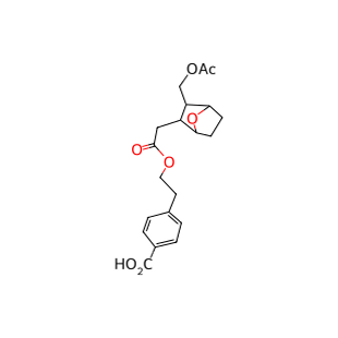 CC(=O)OCC1C2CCC(O2)C1CC(=O)OCCc1ccc(C(=O)O)cc1